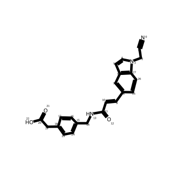 N#CCn1ccc2cc(C=CC(=O)NCc3ccc(CC(=O)O)cc3)ccc21